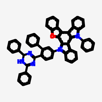 c1ccc(C2=NC(c3ccc(-n4c5ccccc5c5c4c4oc6ccccc6c4c4c6ccccc6n(-c6ccccc6)c45)cc3-c3ccccc3)=NC(c3ccccc3)N2)cc1